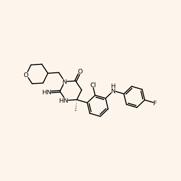 C[C@@]1(c2cccc(Nc3ccc(F)cc3)c2Cl)CC(=O)N(CC2CCOCC2)C(=N)N1